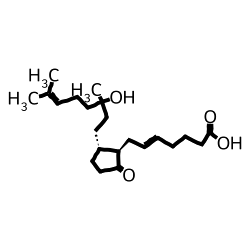 CC(C)=CCCC(C)(O)CC[C@H]1CCC(=O)[C@@H]1CC=CCCCC(=O)O